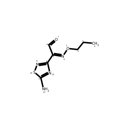 CCCO/N=C(\[C]=O)c1nsc(N)n1